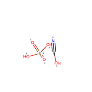 N#CO.O=S(=O)(O)O